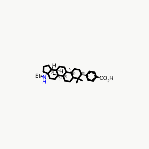 CCN[C@]12CCC[C@@H]1[C@H]1CCC3[C@@]4(C)CC[C@@H](c5ccc(C(=O)O)cc5)C(C)(C)C4CC[C@@]3(C)[C@]1(C)CC2